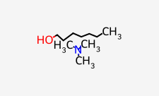 CCCCCCCO.CN(C)C